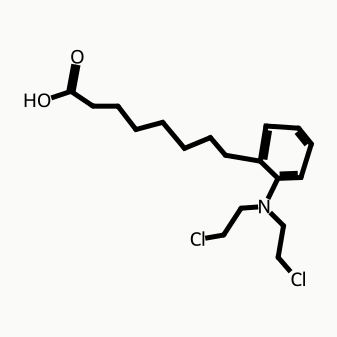 O=C(O)CCCCCCCc1ccccc1N(CCCl)CCCl